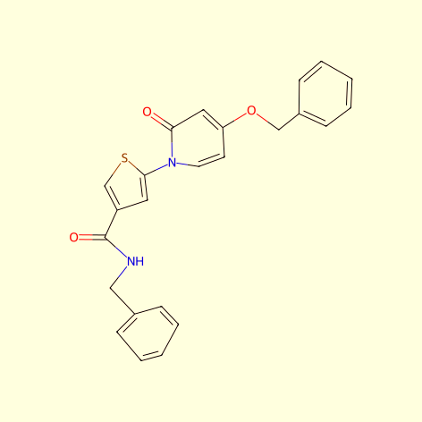 O=C(NCc1ccccc1)c1csc(-n2ccc(OCc3ccccc3)cc2=O)c1